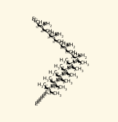 CC[S+](N)CC.CC[S+](N)CC.CC[S+](N)CC.CC[S+](N)CC.CC[S+](N)CC.CC[S+](N)CC.CC[S+](N)CC.CC[S+](N)CC.CC[S+](N)CC.[F-].[F-].[F-].[F-].[F-].[F-].[F-].[F-].[F-]